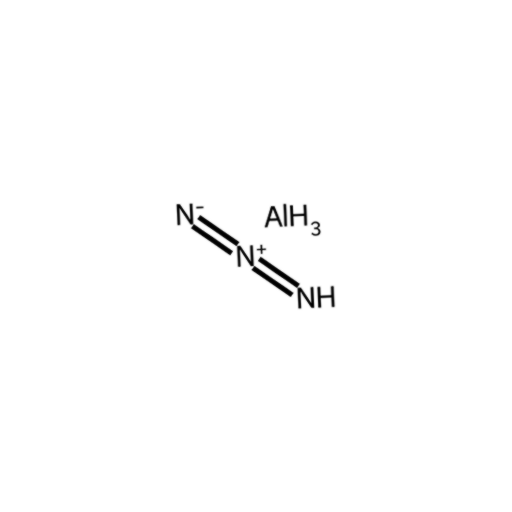 [AlH3].[N-]=[N+]=N